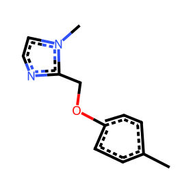 Cc1ccc(OCc2nccn2C)cc1